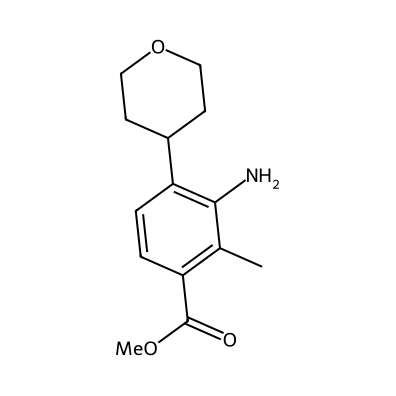 COC(=O)c1ccc(C2CCOCC2)c(N)c1C